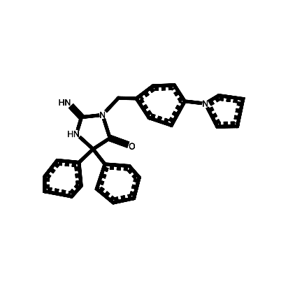 N=C1NC(c2ccccc2)(c2ccccc2)C(=O)N1Cc1ccc(-n2cccc2)cc1